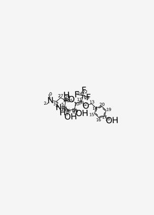 CN(C)C1=N[C@@H]2[C@@H](O)[C@H](O)C([C@@H](OCc3ccc(O)cc3)C(F)(F)F)O[C@@H]2C1